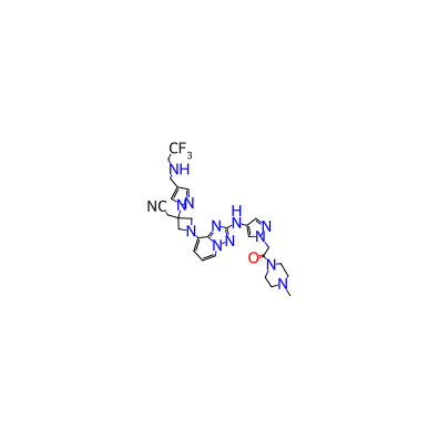 CN1CCN(C(=O)Cn2cc(Nc3nc4c(N5CC(CC#N)(n6cc(CNCC(F)(F)F)cn6)C5)cccn4n3)cn2)CC1